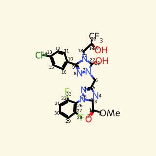 COC(=O)c1nc(CN2N=C(c3ccc(Cl)cc3)N(C[C@H](O)C(F)(F)F)C2O)nn1-c1c(F)cccc1F